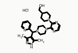 Cc1n[nH]c(C)c1C(c1ccccn1)N1CCN(c2nccnc2N2CCC(CO)CC2)CC1.Cl